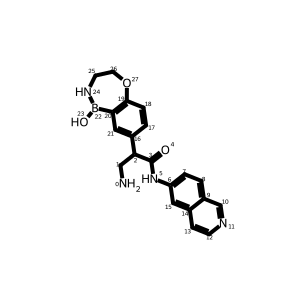 NCC(C(=O)Nc1ccc2cnccc2c1)c1ccc2c(c1)B(O)NCCO2